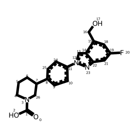 O=C(O)N1CCCC(c2ccc(-n3cc4c(CO)cc(F)cc4n3)cc2)C1